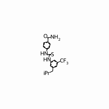 CC(C)Cc1cc(NC(=S)Nc2ccc(C(N)=O)cc2)cc(C(F)(F)F)c1